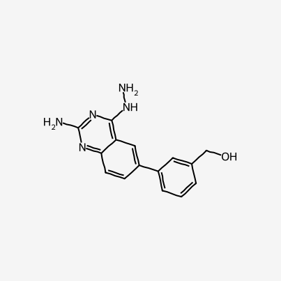 NNc1nc(N)nc2ccc(-c3cccc(CO)c3)cc12